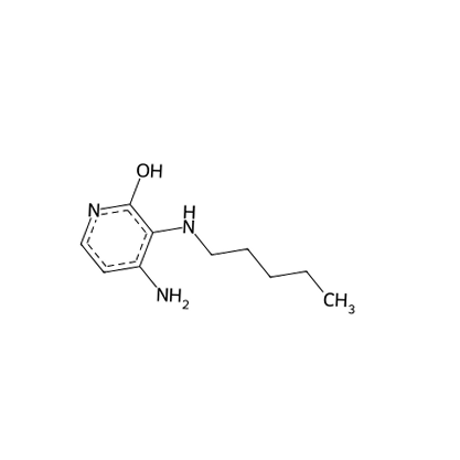 CCCCCNc1c(N)ccnc1O